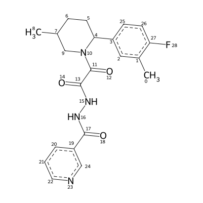 Cc1cc(C2CCC(C)CN2C(=O)C(=O)NNC(=O)c2cccnc2)ccc1F